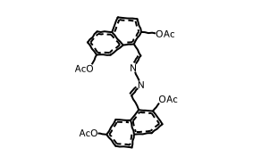 CC(=O)Oc1ccc2ccc(OC(C)=O)c(C=NN=Cc3c(OC(C)=O)ccc4ccc(OC(C)=O)cc34)c2c1